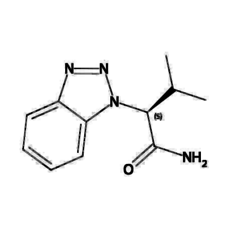 CC(C)[C@@H](C(N)=O)n1nnc2ccccc21